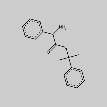 CC(C)(OC(=O)C(N)c1ccccc1)c1ccccc1